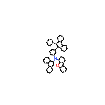 c1ccc(-c2c(-c3cccc(N(c4cc5ccccc5c5ccccc45)c4cccc5c4oc4ccccc45)c3)c3ccccc3c3ccccc23)cc1